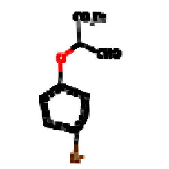 CCOC(=O)C(C=O)Oc1ccc(Br)cc1